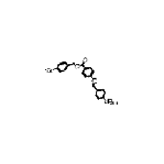 CC(C)(C)c1ccc(COC(=O)c2ccc(OCc3ccc(C(C)(C)C)cc3)cc2)cc1